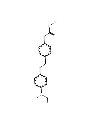 CCN(C)c1ccc(CCc2ccc(CC(=O)NN)cc2)cc1